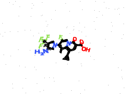 Cc1c(N2C[C@@H](N)[C@H](C(F)(F)F)C2)c(F)cn2c(=O)c(C(=O)O)cc(C3CC3)c12